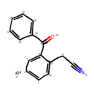 N#CCc1ccccc1C(=O)c1ccccc1.[KH]